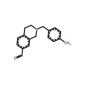 Cc1ccc(CN2CCc3ccc(C=O)cc3C2)cc1